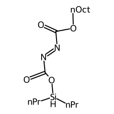 CCCCCCCCOC(=O)N=NC(=O)O[SiH](CCC)CCC